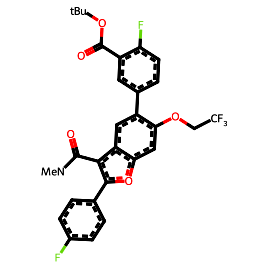 CNC(=O)c1c(-c2ccc(F)cc2)oc2cc(OCC(F)(F)F)c(-c3ccc(F)c(C(=O)OC(C)(C)C)c3)cc12